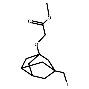 COC(=O)COC12CC3CC(CI)(CC3C1)C2